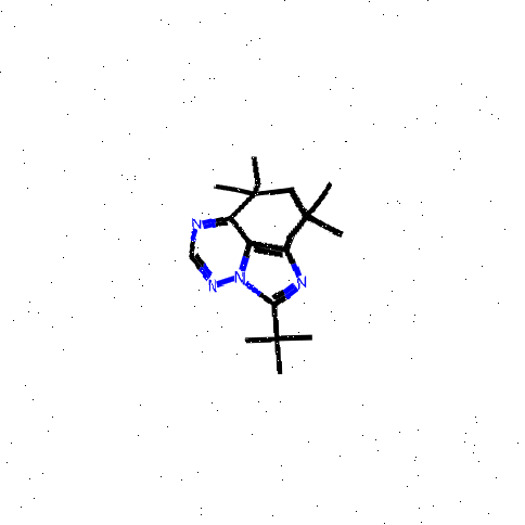 CC(C)(C)c1nc2c3c(ncnn13)C(C)(C)CC2(C)C